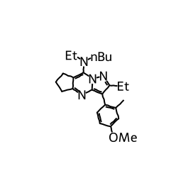 CCCCN(CC)c1c2c(nc3c(-c4ccc(OC)cc4C)c(CC)nn13)CCC2